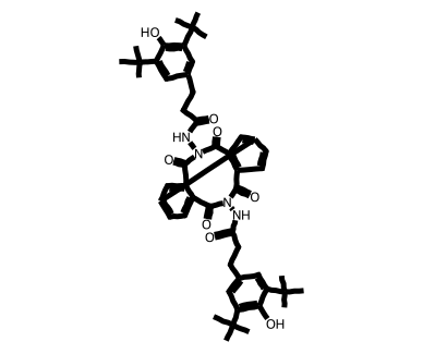 CC(C)(C)c1cc(CCC(=O)NN2C(=O)c3ccc4cc3C(=O)N(NC(=O)CCc3cc(C(C)(C)C)c(O)c(C(C)(C)C)c3)C(=O)c3cc-4ccc3C2=O)cc(C(C)(C)C)c1O